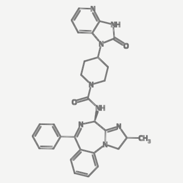 CC1CN2C(=N1)[C@H](NC(=O)N1CCC(n3c(=O)[nH]c4ncccc43)CC1)N=C(c1ccccc1)c1ccccc12